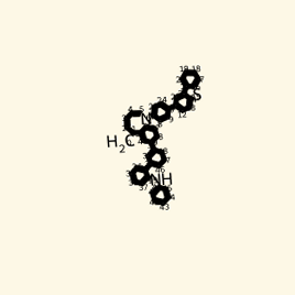 C=C1/C=C\C=C/N(c2ccc(-c3ccc4sc5ccccc5c4c3)cc2)C2=CCC(C3=CC(c4ccccc4Nc4ccccc4)=CCC3)C=C12